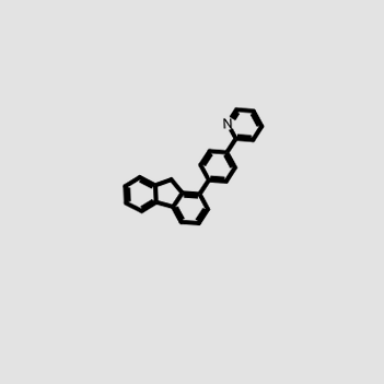 c1ccc(-c2ccc(-c3cccc4c3Cc3ccccc3-4)cc2)nc1